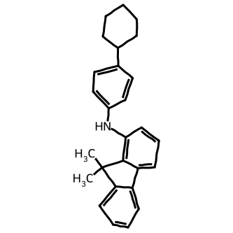 CC1(C)c2ccccc2-c2cccc(Nc3ccc(C4CCCCC4)cc3)c21